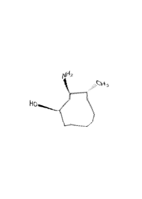 C[C@@H]1CCC[C@@H](O)[C@H]1N